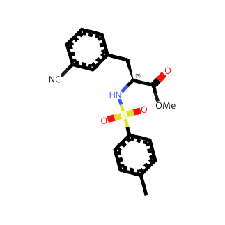 COC(=O)[C@H](Cc1cccc(C#N)c1)NS(=O)(=O)c1ccc(C)cc1